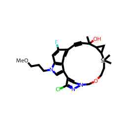 COCCCn1cc2c3cc(c(F)cc31)C#CC(C)(O)C1CC1[Si](C)(C)CCOCn1cc-2c(Cl)n1